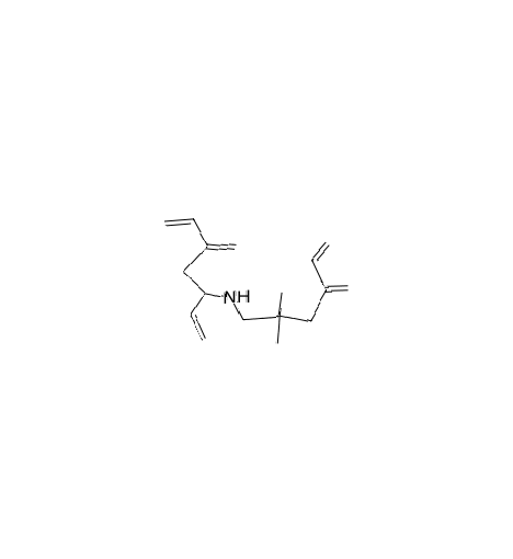 C=CC(=C)CC(C=C)NCC(C)(C)CC(=C)C=C